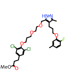 COC(=O)CCc1cc(Cl)c(OCCCOCCOCc2[nH]nc(C)c2CCCOc2cc(C)ccc2F)c(Cl)c1